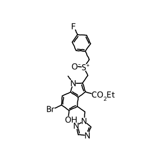 CCOC(=O)c1c(C[S+]([O-])Cc2ccc(F)cc2)n(C)c2cc(Br)c(O)c(Cn3cncn3)c12